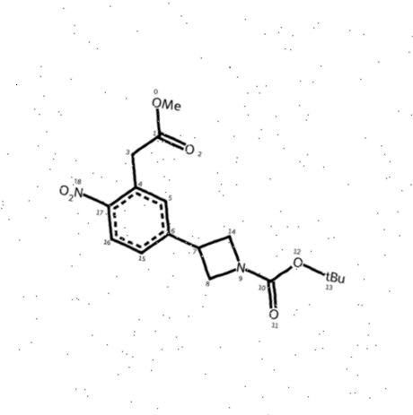 COC(=O)Cc1cc(C2CN(C(=O)OC(C)(C)C)C2)ccc1[N+](=O)[O-]